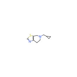 [c]1nc2c(s1)CN(CC1CC1)CC2